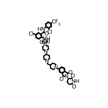 O=C1CCC(N2C(=O)c3ccc(N4CCC(CN5CCC(N6CCN(S(=O)(=O)Nc7ccc(Cl)cc7C(=O)Nc7ccc(C(F)(F)F)cc7Cl)CC6)CC5)CC4)cc3C2=O)C(=O)N1